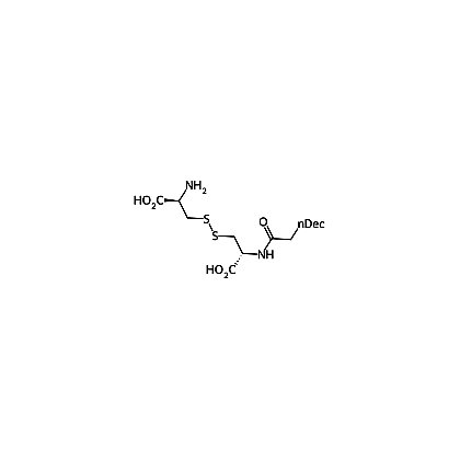 CCCCCCCCCCCC(=O)N[C@@H](CSSC[C@H](N)C(=O)O)C(=O)O